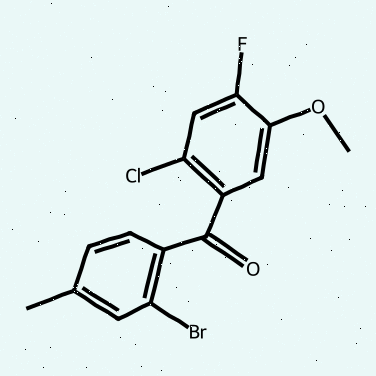 COc1cc(C(=O)c2ccc(C)cc2Br)c(Cl)cc1F